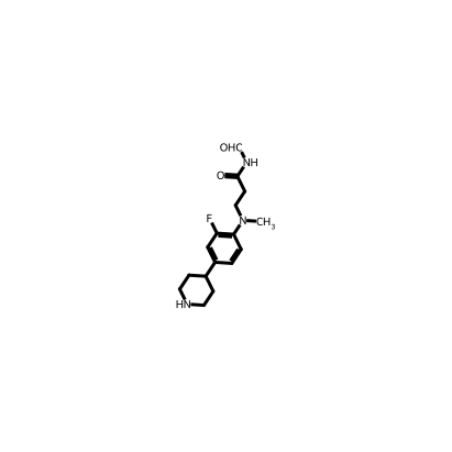 CN(CCC(=O)NC=O)c1ccc(C2CCNCC2)cc1F